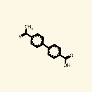 CC(=S)c1ccc(-c2ccc(C(=O)O)cc2)cc1